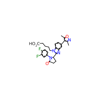 Cc1noc(C)c1-c1ccc2c(c1)nc(C1CCC(=O)N1c1ccc(F)c(F)c1)n2CCCCC(=O)O